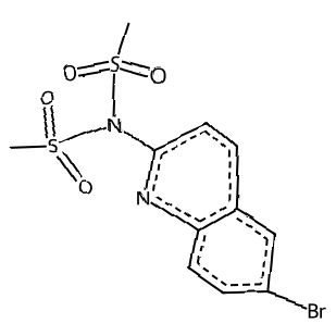 CS(=O)(=O)N(c1ccc2cc(Br)ccc2n1)S(C)(=O)=O